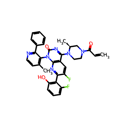 C=CC(=O)N1CCN(c2nc(=O)n(-c3c(C)ccnc3-c3ccccc3)c3nc(-c4c(O)cccc4F)c(F)cc23)[C@@H](C)C1